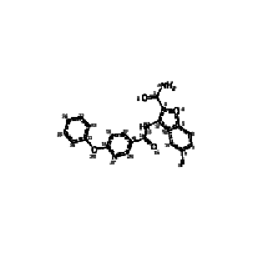 NC(=O)c1oc2ccc(F)cc2c1NC(=O)c1ccc(Oc2ccccc2)nc1